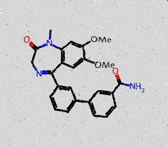 COc1cc2c(cc1OC)N(C)C(=O)CN=C2c1cccc(-c2cccc(C(N)=O)c2)c1